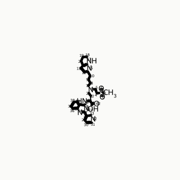 CS(=O)(=O)CCN(CCCCc1ccc2c(n1)NCCC2)CC[C@H](Nc1nc(-c2cccnc2)nc2ccccc12)C(=O)O